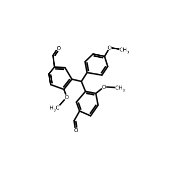 COc1ccc(C(c2cc(C=O)ccc2OC)c2cc(C=O)ccc2OC)cc1